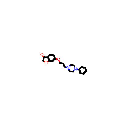 O=C1COc2cc(OCCCN3CCN(c4ccccc4)CC3)ccc21